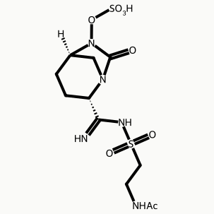 CC(=O)NCCS(=O)(=O)NC(=N)[C@@H]1CC[C@@H]2CN1C(=O)N2OS(=O)(=O)O